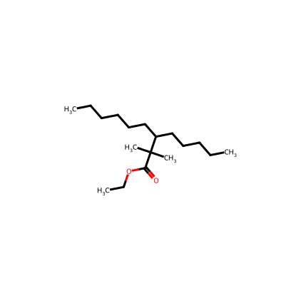 CCCCCCC(CCCCC)C(C)(C)C(=O)OCC